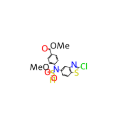 COC(=O)c1ccc(N(c2ccc3sc(Cl)nc3c2)[SH](=O)=O)c(OC)c1